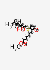 CCOC(=O)CCCCCCC1C(=O)CCC1SCC(O)CCCC(C)(C)C